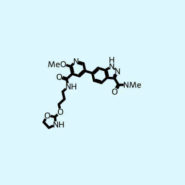 CNC(=O)c1n[nH]c2cc(-c3cnc(OC)c(C(=O)NCCCOC4NCCO4)c3)ccc12